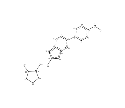 COc1ccc(-c2ccc3nc(CCN4CCCC4C)cn3c2)cc1